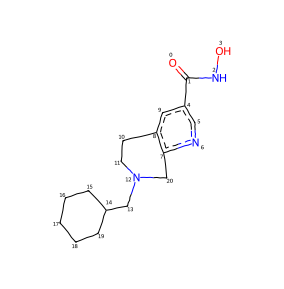 O=C(NO)c1cnc2c(c1)CCN(CC1CCCCC1)C2